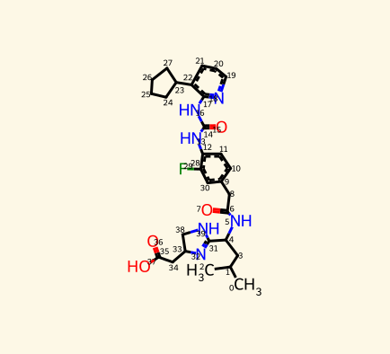 CC(C)CC(NC(=O)Cc1ccc(NC(=O)Nc2ncccc2C2CCCC2)c(F)c1)C1=NC(CC(=O)O)CN1